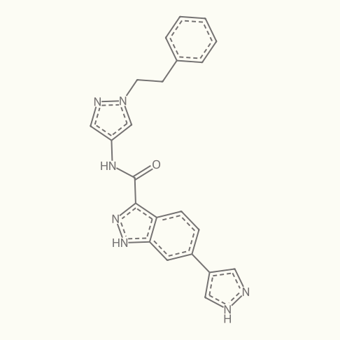 O=C(Nc1cnn(CCc2ccccc2)c1)c1n[nH]c2cc(-c3cn[nH]c3)ccc12